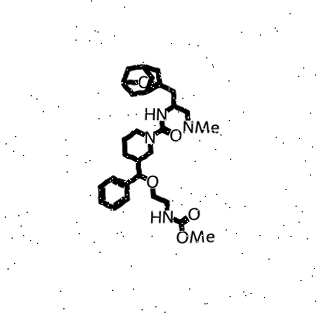 CNCC(CC12CC3CC(CC1C3)C2)NC(=O)N1CCCC(C(OCCNC(=O)OC)c2ccccc2)C1